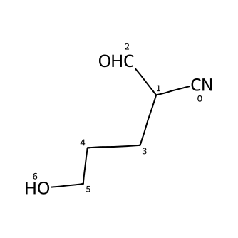 N#CC(C=O)CCCO